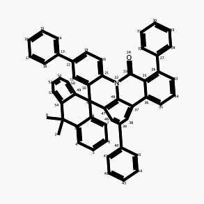 CC1(C)c2ccccc2C2(c3cc(-c4ccccc4)ccc3-n3c(=O)c4c(-c5ccccc5)cccc4c4cc(-c5ccccc5)cc2c43)c2ccccc21